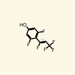 Oc1cc(F)c(/C(F)=C/C(F)(F)F)c(F)c1